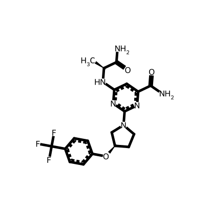 C[C@H](Nc1cc(C(N)=O)nc(N2CC[C@@H](Oc3ccc(C(F)(F)F)cc3)C2)n1)C(N)=O